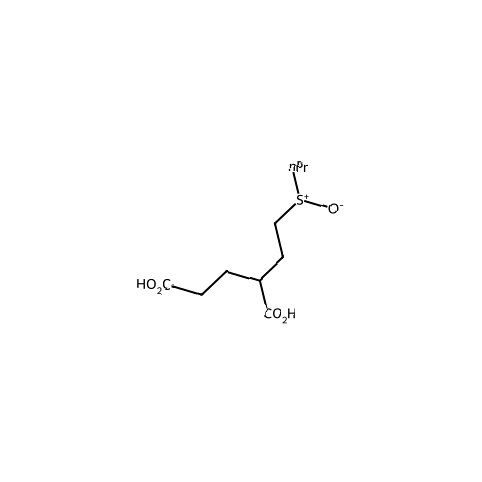 CCC[S+]([O-])CCC(CCC(=O)O)C(=O)O